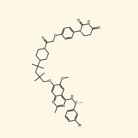 COc1cc2c(N[C@H](C)c3cccc(Br)c3)nc(C)nc2cc1OCC(C)(C)CC(C)(C)N1CCN(C(=O)COc2ccc(N3CCC(=O)NC3=O)cc2)CC1